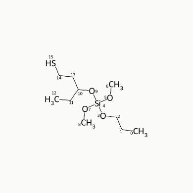 CCCO[Si](OC)(OC)OC(CC)CCS